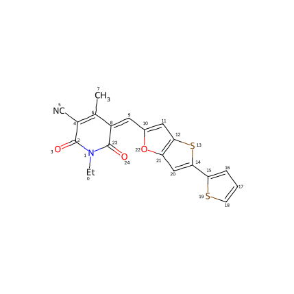 CCN1C(=O)C(C#N)=C(C)/C(=C/c2cc3sc(-c4cccs4)cc3o2)C1=O